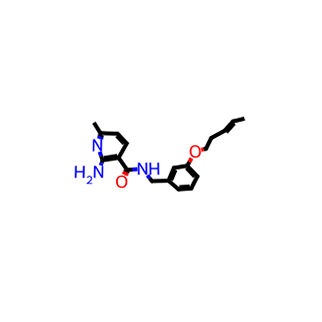 CC=CCCOc1cccc(CNC(=O)c2ccc(C)nc2N)c1